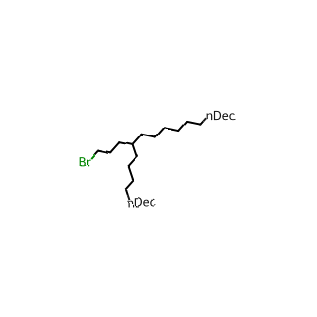 CCCCCCCCCCCCCCCCC(CCCBr)CCCCCCCCCCCCCC